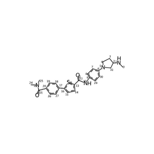 CNC1CCN(c2ccc(NC(=O)c3ccc(-c4ccc(C(=O)N(C)C)cc4)s3)cc2)C1